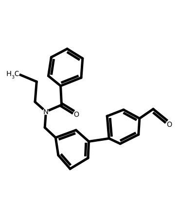 CCCN(Cc1cccc(-c2ccc(C=O)cc2)c1)C(=O)c1ccccc1